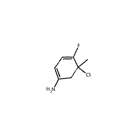 CC1(Cl)CC(N)=CC=C1F